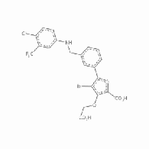 O=C(O)COc1c(C(=O)O)sc(-c2cccc(CNc3ccc(Cl)c(C(F)(F)F)c3)c2)c1Br